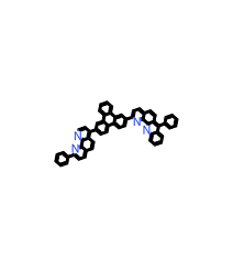 c1ccc(-c2ccc3ccc4c(-c5ccc6c7ccc(-c8ccc9ccc%10c(-c%11ccccc%11)c%11ccccc%11nc%10c9n8)cc7c7ccccc7c6c5)ccnc4c3n2)cc1